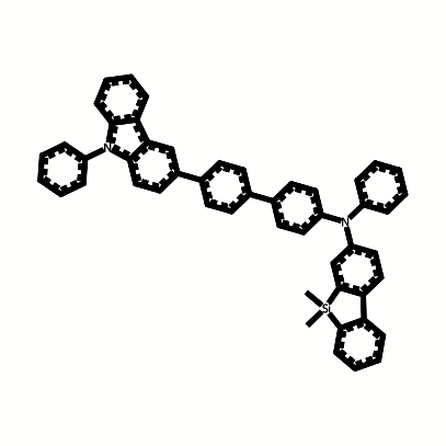 C[Si]1(C)c2ccccc2-c2ccc(N(c3ccccc3)c3ccc(-c4ccc(-c5ccc6c(c5)c5ccccc5n6-c5ccccc5)cc4)cc3)cc21